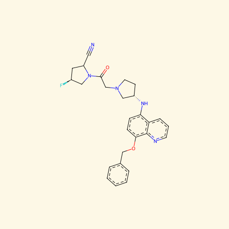 N#CC1C[C@H](F)CN1C(=O)CN1CC[C@H](Nc2ccc(OCc3ccccc3)c3ncccc23)C1